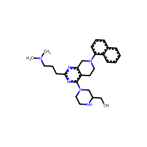 CN(C)CCCc1nc2c(c(N3CCNC(CC#N)C3)n1)CCN(c1cccc3ccccc13)C2